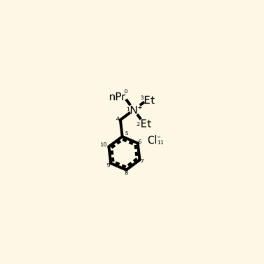 CCC[N+](CC)(CC)Cc1ccccc1.[Cl-]